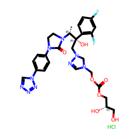 C[C@@H](N1CCN(c2ccc(-n3cnnn3)cc2)C1=O)[C@](O)(CN1CN(COC(=O)OC[C@@H](O)CO)C=N1)c1ccc(F)cc1F.Cl